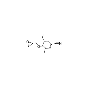 CCc1cc(C#N)cc(C)c1OC[C@@H]1CO1